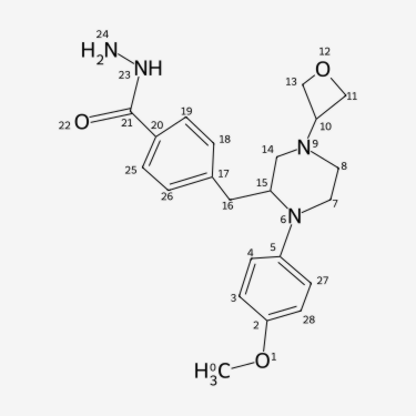 COc1ccc(N2CCN(C3COC3)CC2Cc2ccc(C(=O)NN)cc2)cc1